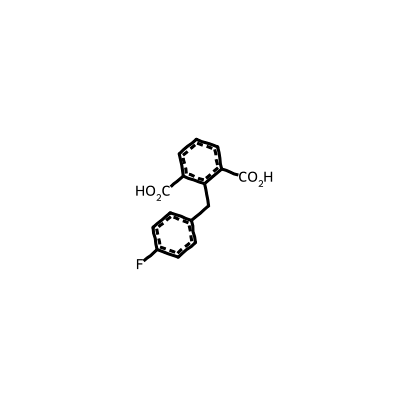 O=C(O)c1cccc(C(=O)O)c1Cc1ccc(F)cc1